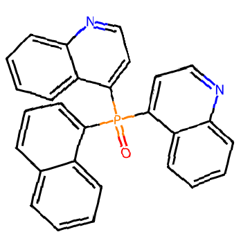 O=P(c1cccc2ccccc12)(c1ccnc2ccccc12)c1ccnc2ccccc12